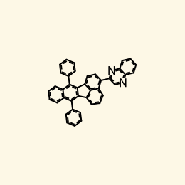 c1ccc(-c2c3c(c(-c4ccccc4)c4ccccc24)-c2ccc(-c4cnc5ccccc5n4)c4cccc-3c24)cc1